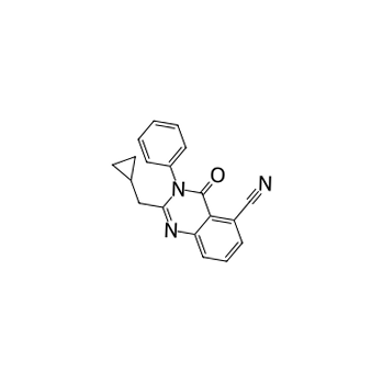 N#Cc1cccc2nc(CC3CC3)n(-c3ccccc3)c(=O)c12